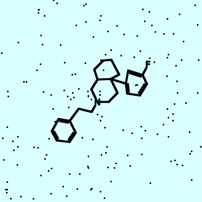 Fc1cccc(C23CCCCC2CN(CCc2ccccc2)CC3)c1